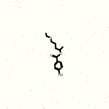 CCOCCCC(C)OC(=O)c1ccc(O)cc1